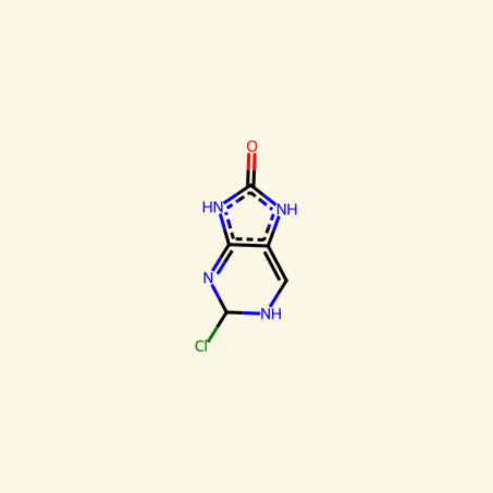 O=c1[nH]c2c([nH]1)=NC(Cl)NC=2